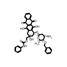 C[C@@H]1O[C@@H](O[C@H]2C[C@](O)(COC(=O)Nc3ccccc3)Cc3c(O)c4c(c(O)c32)C(=O)c2ccccc2C4=O)C[C@H](N)[C@@H]1OCc1ccccc1